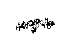 C[C@@H](CO[C@@H]1CCN([C@H]2CCN(c3ncc(C(F)(F)F)cn3)CC2O[Si](C)(C)C(C)(C)C)C1=O)NC(=O)OC(C)(C)C